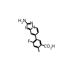 Cc1cc(F)c(-c2ccn3nc(N)nc3c2)cc1C(=O)O